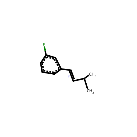 CC(C)/C=C/c1cccc(F)c1